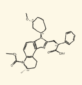 COC(=O)N1c2ccc3c(nc(C[C@H](C(=O)O)c4ccccc4)n3[C@@H]3CCC[C@@H](OC)C3)c2CC[C@@H]1C